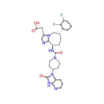 O=C(O)Cc1cnc2n1C[C@H](c1cccc(F)c1F)CC[C@H]2NC(=O)N1CCC(n2c(=O)[nH]c3ncccc32)CC1